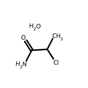 CC(Cl)C(N)=O.O